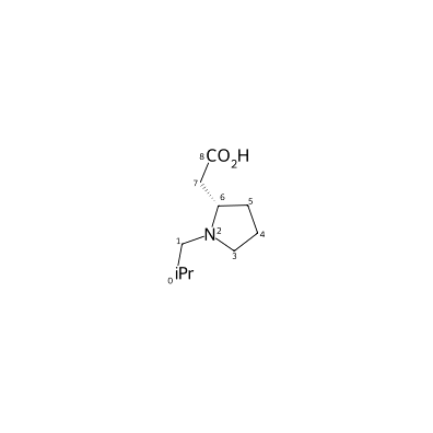 CC(C)CN1CCC[C@H]1CC(=O)O